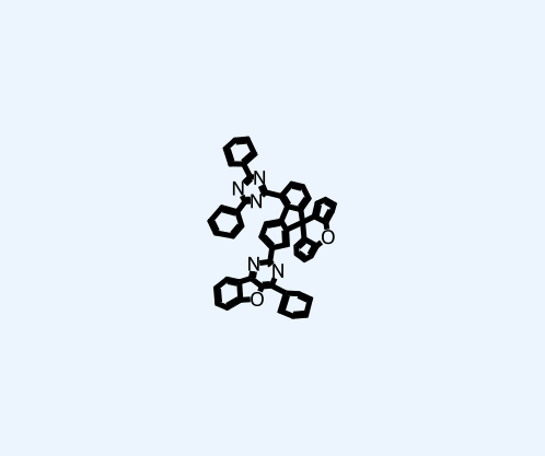 c1ccc(-c2nc(-c3ccccc3)nc(-c3cccc4c3-c3ccc(-c5nc(-c6ccccc6)c6oc7ccccc7c6n5)cc3C43c4ccccc4Oc4ccccc43)n2)cc1